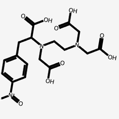 O=C(O)CN(CCN(CC(=O)O)C(Cc1ccc([N+](=O)[O-])cc1)C(=O)O)CC(=O)O